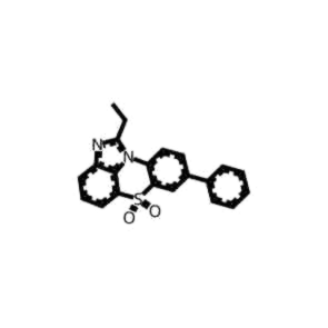 CCc1nc2cccc3c2n1-c1ccc(-c2ccccc2)cc1S3(=O)=O